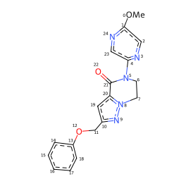 COc1cnc(N2CCn3nc(COc4ccccc4)cc3C2=O)cn1